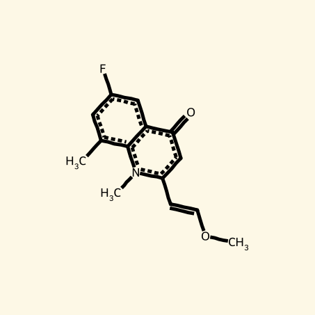 CO/C=C/c1cc(=O)c2cc(F)cc(C)c2n1C